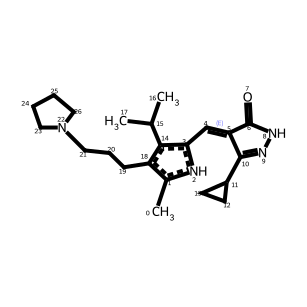 Cc1[nH]c(/C=C2/C(=O)NN=C2C2CC2)c(C(C)C)c1CCCN1CCCC1